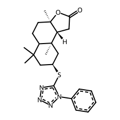 CC1(C)C[C@H](Sc2nnnn2-c2ccccc2)C[C@@]2(C)C1CC[C@@]1(C)OC(=O)C[C@@H]12